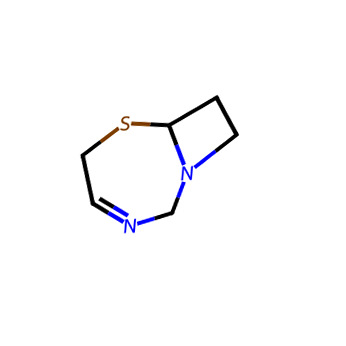 C1=NCN2CCC2SC1